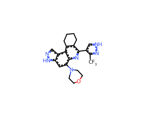 FC(F)(F)c1n[nH]cc1-c1nc2c(N3CCOCC3)cc3[nH]ncc3c2c2c1CCCC2